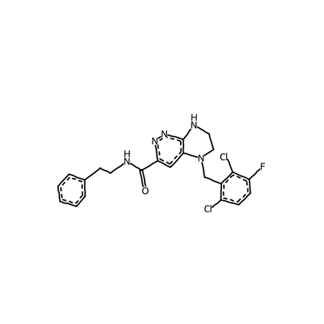 O=C(NCCc1ccccc1)c1cc2c(nn1)NCCN2Cc1c(Cl)ccc(F)c1Cl